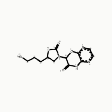 O=C1Nc2nccnc2OC1N1CC(CCCO)OC1=O